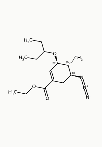 CCOC(=O)C1=C[C@@H](OC(CC)CC)[C@H](C)[C@@H](N=[N+]=[N-])C1